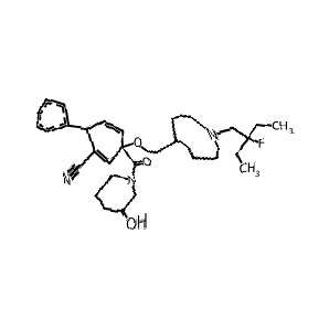 CCC(F)(CC)CN1CCC(COC2(C(=O)N3CCCC(O)C3)C=CC(c3ccccc3)C(C#N)=C2)CC1